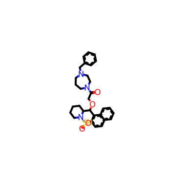 O=C(COC(c1cccc2ccccc12)C1CCCCN1[SH](=O)=O)N1CCCN(Cc2ccccc2)CC1